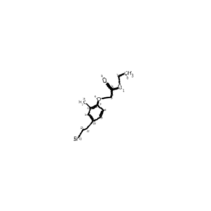 CCOC(=O)COc1ccc(CCBr)cc1C